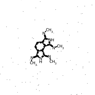 C/N=c1\[nH]/c(=N\C)c2c1ccc1/c(=N/C)[nH]/c(=N\C)c12